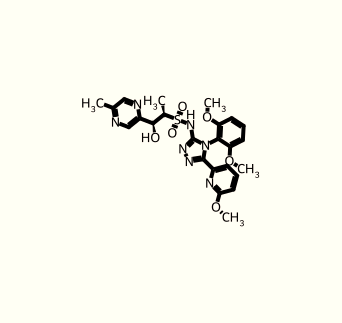 COc1cccc(-c2nnc(NS(=O)(=O)[C@H](C)[C@@H](O)c3cnc(C)cn3)n2-c2c(OC)cccc2OC)n1